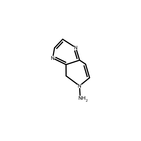 NN1C=Cc2nccnc2C1